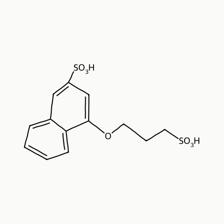 O=S(=O)(O)CCCOc1cc(S(=O)(=O)O)cc2ccccc12